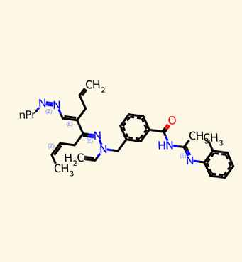 C=CCC(=C\N=N/CCC)/C(C/C=C\C)=N/N(C=C)Cc1cccc(C(=O)N/C(C)=N/c2ccccc2C)c1